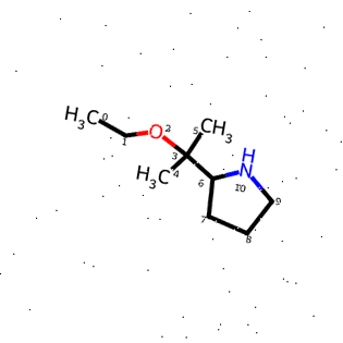 CCOC(C)(C)C1CCCN1